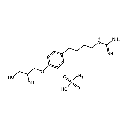 CS(=O)(=O)O.N=C(N)NCCCCc1ccc(OCC(O)CO)cc1